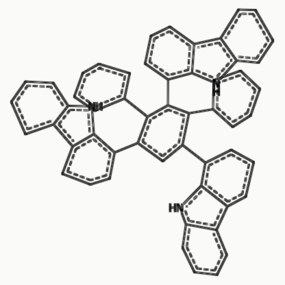 c1ccc(-c2c(-c3cccc4c3[nH]c3ccccc34)cc(-c3cccc4c3[nH]c3ccccc34)c(-c3ccccc3)c2-c2cccc3c2[nH]c2ccccc23)cc1